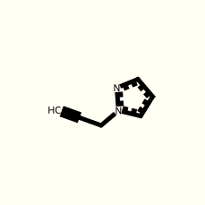 C#CCn1c[c]cn1